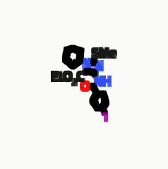 CCOC(=O)c1c(NC(=O)c2ccc(I)cc2)nc(SC)n1-c1ccccc1